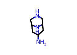 NC1CC2CNCC(C1)N2